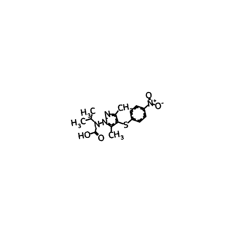 Cc1nn(N(C(=O)O)C(C)C)c(C)c1Sc1ccc([N+](=O)[O-])cc1